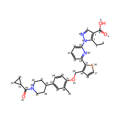 CCc1c(C(=O)O)cnn1-c1cccc(-c2sccc2COc2ccc(C3CCN(C(=O)C4CC4)CC3)cc2C)n1